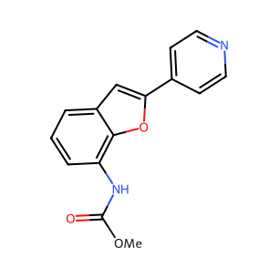 COC(=O)Nc1cccc2cc(-c3ccncc3)oc12